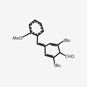 COc1ccccc1C=C1C=C(C(C)(C)C)C(C=O)C(C(C)(C)C)=C1